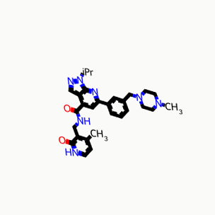 Cc1cc[nH]c(=O)c1CNC(=O)c1cc(-c2cccc(CN3CCN(C)CC3)c2)nc2c1cnn2C(C)C